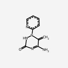 C=C1C(N)=NC(=O)NN1c1ccccn1